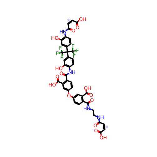 O=C(O)/C=C\C(=O)NCCNC(=O)c1ccc(Oc2ccc(C(=O)Nc3ccc(C(c4ccc(NC(=O)/C=C\C(=O)O)c(O)c4)(C(F)(F)F)C(F)(F)F)cc3O)c(C(=O)O)c2)cc1C(=O)O